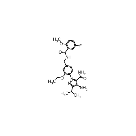 CCOc1cc(CNC(=O)c2cc(F)ccc2OC)ccc1-n1nc(C(C)C)c(N)c1C(N)=O